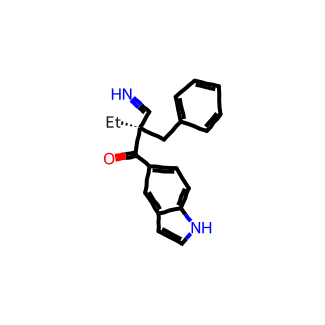 CC[C@](C=N)(Cc1ccccc1)C(=O)c1ccc2[nH]ccc2c1